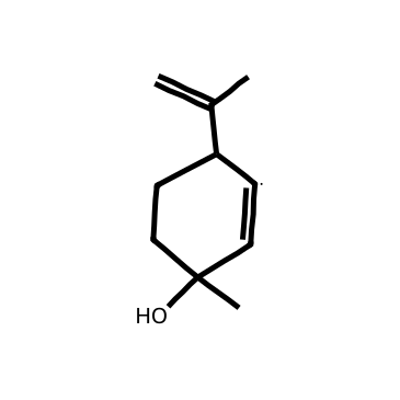 C=C(C)C1[C]=CC(C)(O)CC1